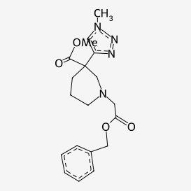 COC(=O)C1(c2cn(C)nn2)CCCN(CC(=O)OCc2ccccc2)C1